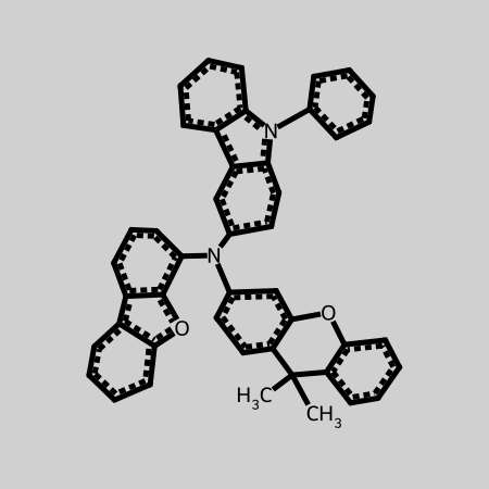 CC1(C)c2ccccc2Oc2cc(N(c3ccc4c(c3)c3ccccc3n4-c3ccccc3)c3cccc4c3oc3ccccc34)ccc21